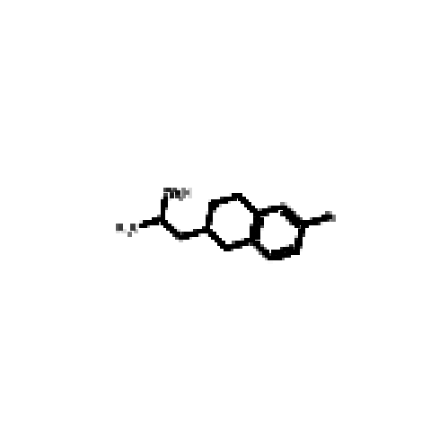 O=C(O)C(CC1CCc2cc(Br)ccc2C1)C(=O)O